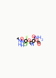 NC(=O)c1cc2c(Oc3c(F)cc(NC(=O)NC4CC4)c(Cl)c3F)ccnc2cc1O[C@H]1CCOC1